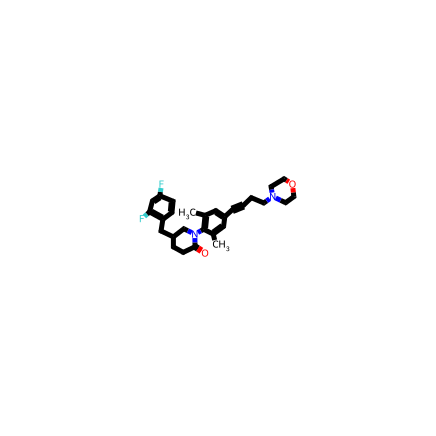 Cc1cc(C#CCCN2CCOCC2)cc(C)c1N1CC(Cc2ccc(F)cc2F)CCC1=O